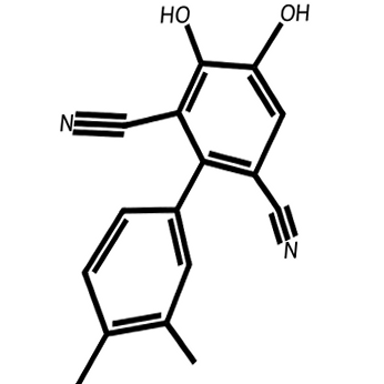 Cc1ccc(-c2c(C#N)cc(O)c(O)c2C#N)cc1C